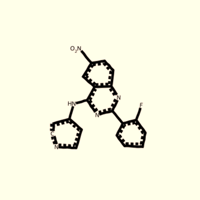 O=[N+]([O-])c1ccc2nc(-c3ccccc3F)nc(Nc3ccncc3)c2c1